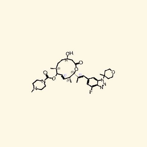 C/C(=C\c1cc(F)c2nnn(C3(C)CCOCC3)c2c1)[C@H]1OC(=O)C[C@H](O)CC[C@H](C)C(OC(=O)N2CCN(C)CC2)/C=C/[C@@H]1C